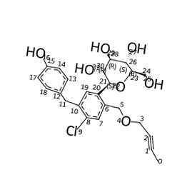 CC#CCOCc1cc(Cl)c(Cc2ccc(O)cc2)cc1[C@@H]1O[C@H](CO)[C@@H](O)[C@H](O)[C@H]1O